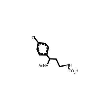 CC(=O)NC(CCNC(=O)O)c1ccc(Cl)cc1